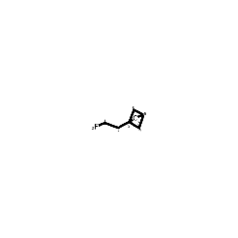 FCCC12CC(C1)C2